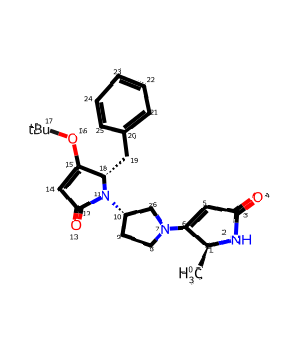 C[C@@H]1NC(=O)C=C1N1CC[C@H](N2C(=O)C=C(OC(C)(C)C)[C@@H]2Cc2ccccc2)C1